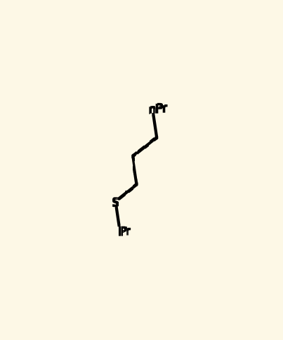 CCCCCCSC(C)C